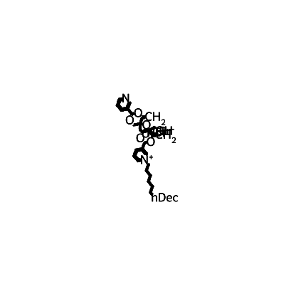 Br.C=C1OC(c2cccnc2)OCC1(CO)OC1(CO)COC(c2ccc[n+](CCCCCCCCCCCCCCCC)c2)OC1=C.[Br-]